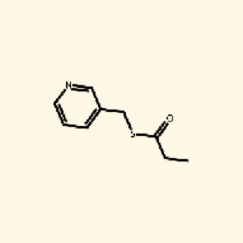 CCC(=O)SCc1cccnc1